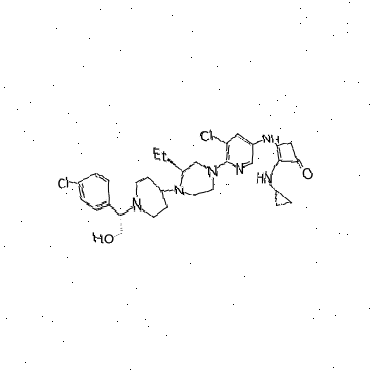 CC[C@H]1CN(c2ncc(NC3=C(NC4CC4)C(=O)C3)cc2Cl)CCN1C1CCN([C@H](CO)c2ccc(Cl)cc2)CC1